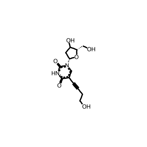 O=c1[nH]c(=O)n([C@@H]2CC(O)[C@H](CO)O2)cc1C#CCCO